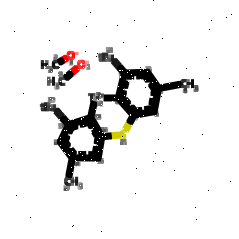 C[O-].C[O-].Cc1cc2[c](c(C(C)(C)C)c1)[Ti+2][c]1c(cc(C)cc1C(C)(C)C)S2